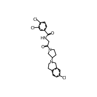 O=C(NCC(=O)N1CCC(N2CCc3ccc(Cl)cc3C2)C1)c1ccc(Cl)c(Cl)c1